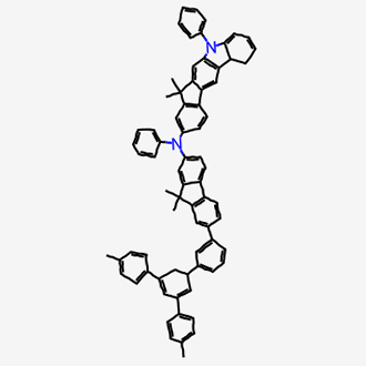 Cc1ccc(C2=CC(c3cccc(-c4ccc5c(c4)C(C)(C)c4cc(N(c6ccccc6)c6ccc7c(c6)C(C)(C)c6cc8c(cc6-7)C6CC=CC=C6N8c6ccccc6)ccc4-5)c3)CC(c3ccc(C)cc3)=C2)cc1